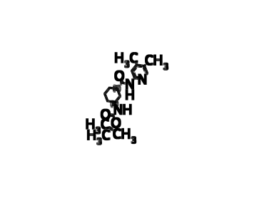 Cc1cnc(NC(=O)[C@H]2CCC[C@@H](NC(=O)OC(C)(C)C)C2)cc1C